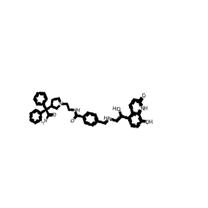 NC(=O)C(c1ccccc1)(c1ccccc1)C1CCN(CCNC(=O)c2ccc(CNCC(O)c3ccc(O)c4[nH]c(=O)ccc34)cc2)C1